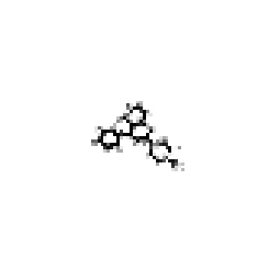 CCN1CCN(c2cc(-c3ccccc3)c3c(n2)CCSC3)CC1